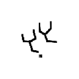 CCP(CC)CC.CCP(CC)CC.[Ni]